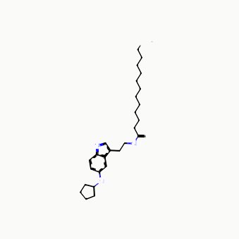 C=C(CCCCCCCCCCCCCCCCCCCCC)NCCc1c[nH]c2ccc(NC3CCCC3)cc12